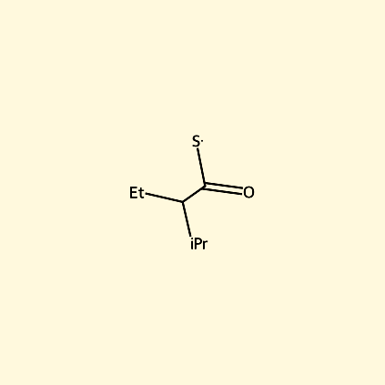 CCC(C(=O)[S])C(C)C